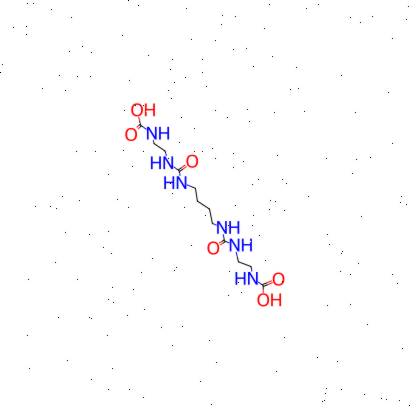 O=C(O)NCCNC(=O)NCCCCNC(=O)NCCNC(=O)O